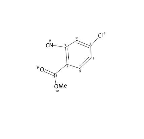 [C-]#[N+]c1cc(Cl)ccc1C(=O)OC